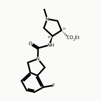 CCOC(=O)[C@H]1CN(C)C[C@@H]1NC(=O)N1Cc2cccc(F)c2C1